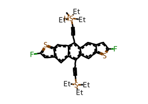 CCS(C#Cc1c2cc3cc(F)sc3cc2c(C#C[SH](C)(CC)(CC)CC)c2cc3cc(F)sc3cc12)(CC)CC